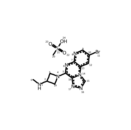 CNC1CN(c2nc3ncc(Br)cc3n3cnnc23)C1.CS(=O)(=O)O